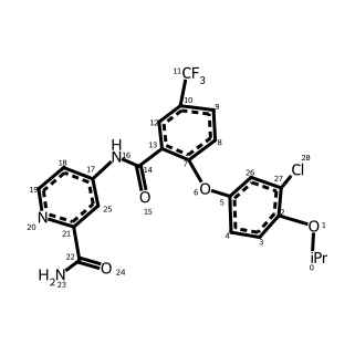 CC(C)Oc1ccc(Oc2ccc(C(F)(F)F)cc2C(=O)Nc2ccnc(C(N)=O)c2)cc1Cl